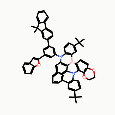 Cc1cc2c3c(c1)N(c1ccc(C(C)(C)C)cc1-c1ccccc1)c1c(ccc4c1OCCO4)B3c1cc(C(C)(C)C)ccc1N2c1cc(-c2ccc3c(c2)C(C)(C)c2ccccc2-3)cc(-c2cc3ccccc3o2)c1